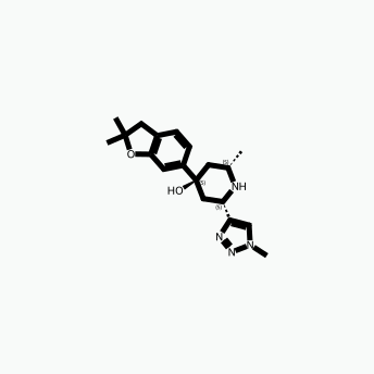 C[C@H]1C[C@@](O)(c2ccc3c(c2)OC(C)(C)C3)C[C@@H](c2cn(C)nn2)N1